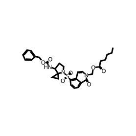 CCCCCC(=O)OCn1ccc2c(S(=O)(=O)N3CCC(NC(=O)OCc4ccccc4)C34CC4)cccc2c1=O